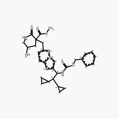 COC(=O)C1(Cc2ccc3nc(C(NC(=O)OCc4ccccc4)C(C4CC4)C4CC4)cn3n2)CC(O)CNC1=O